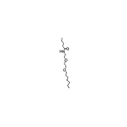 CCCCCCCOCCOCCNC(=O)CCCC